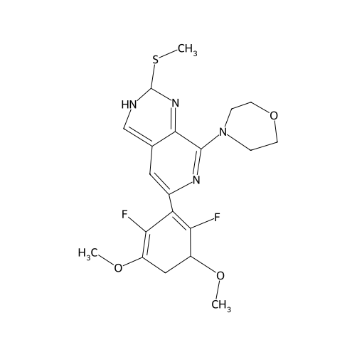 COC1=C(F)C(c2cc3c(c(N4CCOCC4)n2)=NC(SC)NC=3)=C(F)C(OC)C1